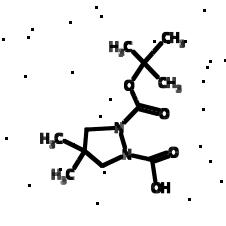 CC1(C)CN(C(=O)O)N(C(=O)OC(C)(C)C)C1